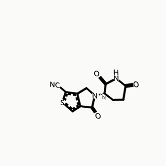 N#Cc1scc2c1CN([C@H]1CCC(=O)NC1=O)C2=O